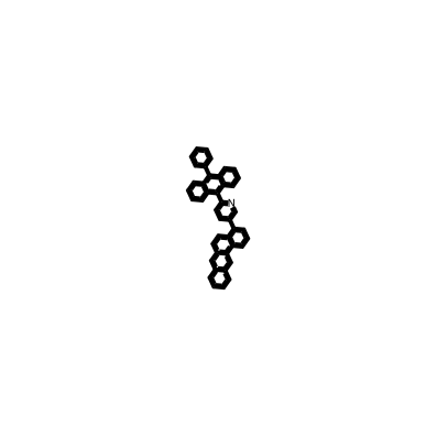 c1ccc(-c2c3ccccc3c(-c3ccc(-c4cccc5c4ccc4cc6ccccc6cc45)cn3)c3ccccc23)cc1